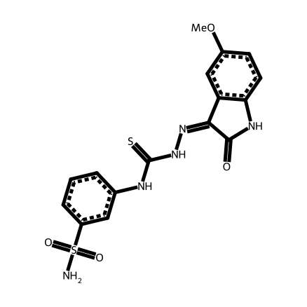 COc1ccc2c(c1)C(=NNC(=S)Nc1cccc(S(N)(=O)=O)c1)C(=O)N2